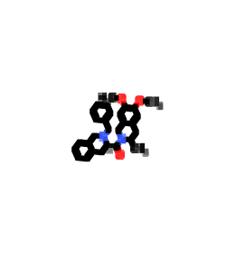 COc1cc2c(cc1OC)CN(C(=O)[C@@H]1Cc3ccccc3CN1Cc1ccccc1)C(C)C2